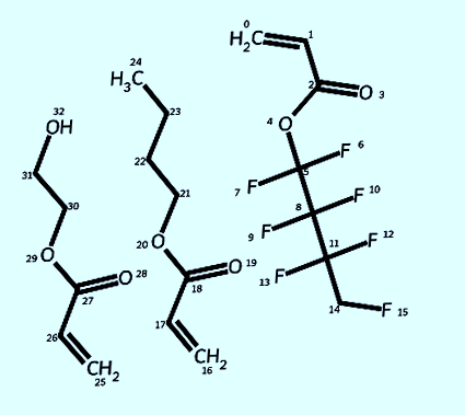 C=CC(=O)OC(F)(F)C(F)(F)C(F)(F)CF.C=CC(=O)OCCCC.C=CC(=O)OCCO